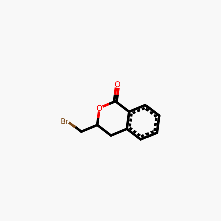 O=C1OC(CBr)Cc2ccccc21